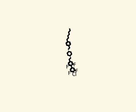 CCCCCCCc1ccc(CC[C@H]2CC[C@H](CCc3cc(F)c(-c4cc(F)c(Cl)c(F)c4)c(F)c3)CC2)cc1